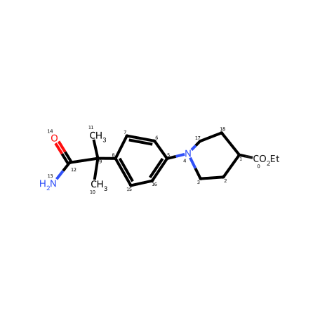 CCOC(=O)C1CCN(c2ccc(C(C)(C)C(N)=O)cc2)CC1